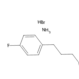 Br.Fc1ccc(CCCBr)cc1.N